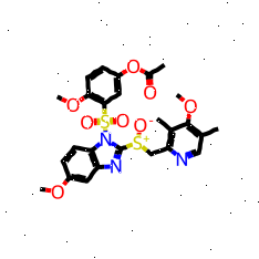 COc1ccc2c(c1)nc([S+]([O-])Cc1ncc(C)c(OC)c1C)n2S(=O)(=O)c1cc(OC(C)=O)ccc1OC